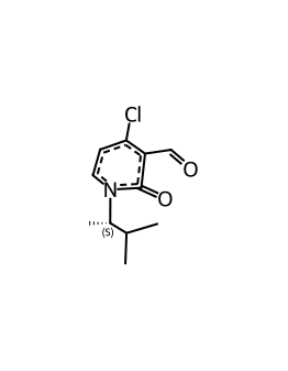 CC(C)[C@H](C)n1ccc(Cl)c(C=O)c1=O